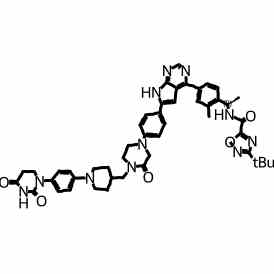 Cc1cc(-c2ncnc3[nH]c(-c4ccc(N5CCN(CC6CCN(c7ccc(N8CCC(=O)NC8=O)cc7)CC6)C(=O)C5)cc4)cc23)ccc1[C@@H](C)NC(=O)c1nc(C(C)(C)C)no1